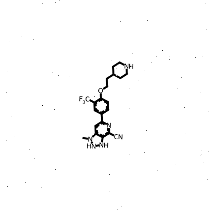 CN1NNc2c1cc(-c1ccc(OCCC3CCNCC3)c(C(F)(F)F)c1)nc2C#N